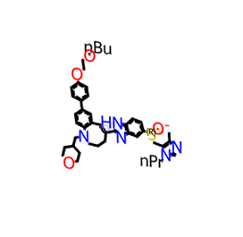 CCCCOCCOc1ccc(-c2ccc3c(c2)/C=C(/c2nc4cc([S@@+]([O-])Cc5c(C)ncn5CCC)ccc4[nH]2)CCCN3CC2CCOCC2)cc1